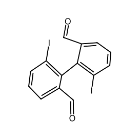 O=Cc1cccc(I)c1-c1c(I)cccc1C=O